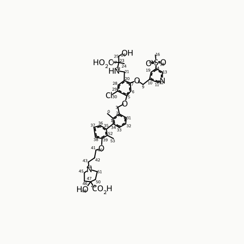 Cc1c(COc2cc(OCc3cncc(S(C)(=O)=O)c3)c(CNC(C)(CO)C(=O)O)cc2Cl)cccc1-c1cccc(OCCCN2CCC(O)(C(=O)O)CC2)c1C